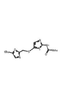 CNC(=O)Nc1ncc(SCc2ncc(C(C)(C)C)o2)s1